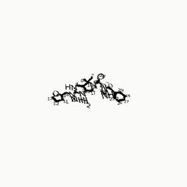 CC1(C)C2=CNC(N(N)CC3CCCO3)NC2CN1C(=O)N(N)Cc1ccccc1